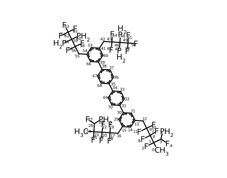 CC(F)(C(F)P)C(F)(F)C(F)(F)Cc1cc(CC(F)(F)C(F)(F)C(C)(F)C(F)P)cc(-c2ccc(-c3ccc(-c4cc(CC(F)(F)C(P)(P)C(F)(F)F)cc(CC(F)(F)C(P)(P)C(F)(F)F)c4)cc3)cc2)c1